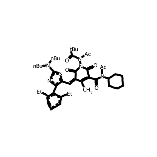 CCCCN(CCCC)c1nc(-c2c(CC)cccc2CC)c(/C=C2\C(=O)N(N(C(C)=O)C(=O)C(C)(C)C)C(=O)C(C(=O)N(C(C)=O)C3CCCCC3)=C2C)s1